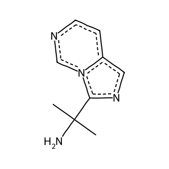 CC(C)(N)c1ncc2ccncn12